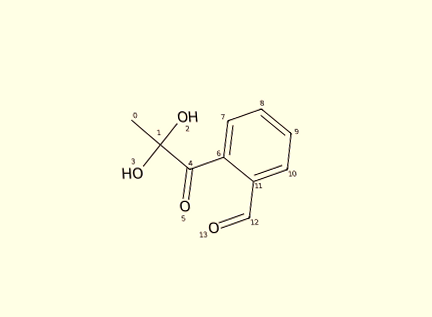 CC(O)(O)C(=O)c1ccccc1C=O